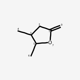 C=C1CC(C)C(C)O1